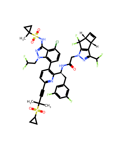 CC1(S(=O)(=O)Nc2nn(CC(F)F)c3c(-c4ccc(C#CC(C)(C)S(=O)(=O)C5CC5)nc4[C@H](Cc4cc(F)cc(F)c4)NC(=O)Cn4nc(C(F)F)c5c4C(F)(F)[C@@H]4C=C[C@H]54)ccc(Cl)c23)CC1